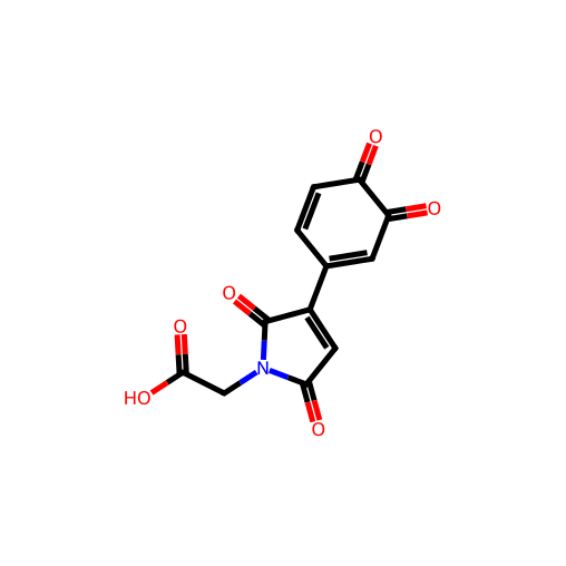 O=C(O)CN1C(=O)C=C(C2=CC(=O)C(=O)C=C2)C1=O